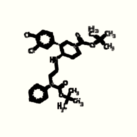 CC(C)(C)OC(=O)N1CC[C@@H](NCCN(C(=O)OC(C)(C)C)c2ccccc2)[C@H](c2ccc(Cl)c(Cl)c2)C1